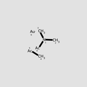 CC(=O)N(C)C.CC(C)=O.[Au]